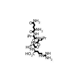 CC(C)C[C@H](NC(=O)[C@@H](NC(=O)[C@@H](N)CCC(N)=O)C(C)C)C(=O)N[C@@H](CO)C(=O)N[C@@H](CCCNC(=N)N)C(=O)O